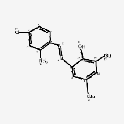 CC(C)(C)c1cc(/N=N/c2ccc(Cl)cc2N)c(O)c(C(C)(C)C)c1